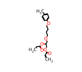 C=CC(=O)OCC(COCCCCOc1ccc(C)cc1)OC(=O)C=C